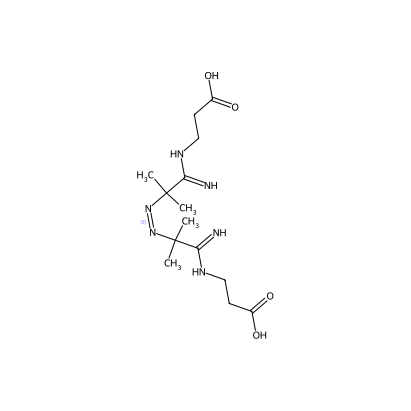 CC(C)(/N=N\C(C)(C)C(=N)NCCC(=O)O)C(=N)NCCC(=O)O